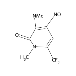 CNc1c(N=O)cc(C(F)(F)F)n(C)c1=O